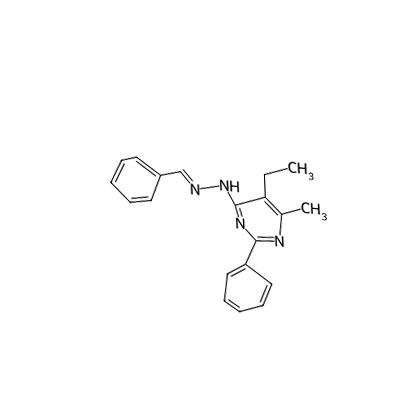 CCc1c(C)nc(-c2ccccc2)nc1N/N=C/c1ccccc1